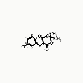 CC1(C)OC(=O)C(Cc2cccc(Cl)c2)C(=O)O1